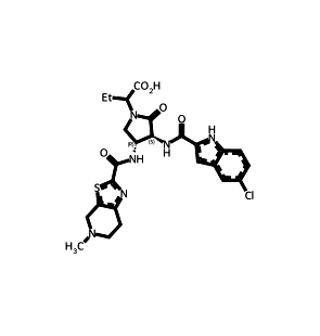 CCC(C(=O)O)N1C[C@@H](NC(=O)c2nc3c(s2)CN(C)CC3)[C@H](NC(=O)c2cc3cc(Cl)ccc3[nH]2)C1=O